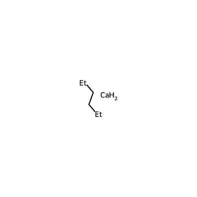 CCCCCC.[CaH2]